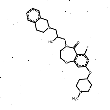 CN1CCC(Oc2cc(F)c3c(c2)OCCN(CC(O)CN2CCc4ccccc4C2)C3=O)CC1